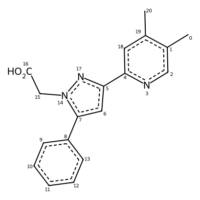 Cc1cnc(-c2cc(-c3ccccc3)n(CC(=O)O)n2)cc1C